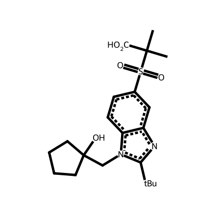 CC(C)(C)c1nc2cc(S(=O)(=O)C(C)(C)C(=O)O)ccc2n1CC1(O)CCCC1